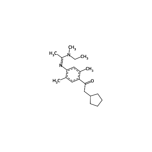 CCN(C)C(C)=Nc1cc(C)c(C(=O)CC2CCCC2)cc1C